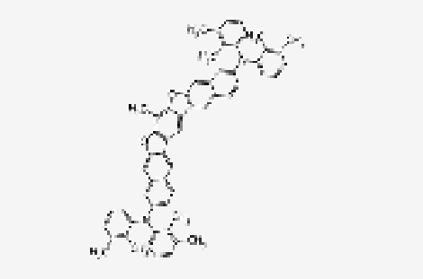 Cc1cccc(N(c2ccc3cc4c(cc3c2)oc2c(C)c3oc5cc6cc(N(c7cccc(C)c7C)c7cccc(C)c7C)ccc6cc5c3cc24)c2cccc(C)c2C)c1C